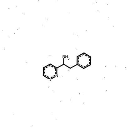 NC(Cc1ccccc1)c1cccnn1